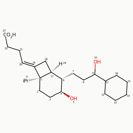 CC(C)[C@@]12CC[C@H](O)[C@@H](CCC(O)C3CCCCC3)[C@@H]1CC2=CCCC(=O)O